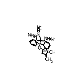 C=C1C[C@@H](O[Si](c2ccccc2)(C2C=CC=CC2)C(CN=[N+]=[N-])(CN=[N+]=[N-])CN=[N+]=[N-])C[C@H]1O